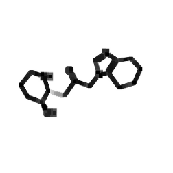 O=C(C[C@H]1NCCC[C@@H]1O)Cn1cnc2c1CCCC2